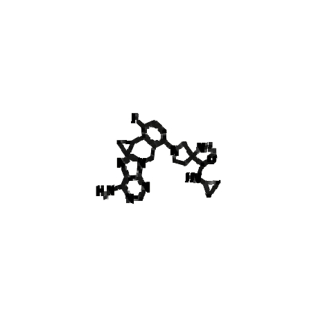 Nc1ncnc2c1ncn2Cc1c(N2CCC(N)(C(=O)NC3CC3)C2)ccc(F)c1C1CC1